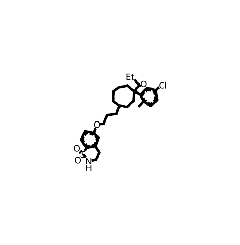 CCC(=O)C1(c2cc(Cl)ccc2C)CCCCC(CCCOc2ccc3c(c2)CCNS3(=O)=O)CC1